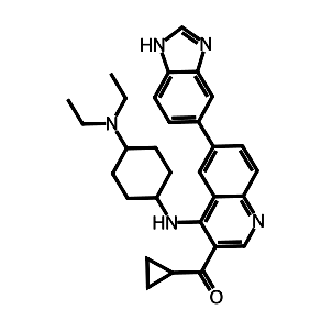 CCN(CC)C1CCC(Nc2c(C(=O)C3CC3)cnc3ccc(-c4ccc5[nH]cnc5c4)cc23)CC1